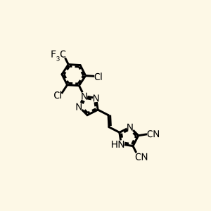 N#Cc1nc(C=Cc2cnn(-c3c(Cl)cc(C(F)(F)F)cc3Cl)n2)[nH]c1C#N